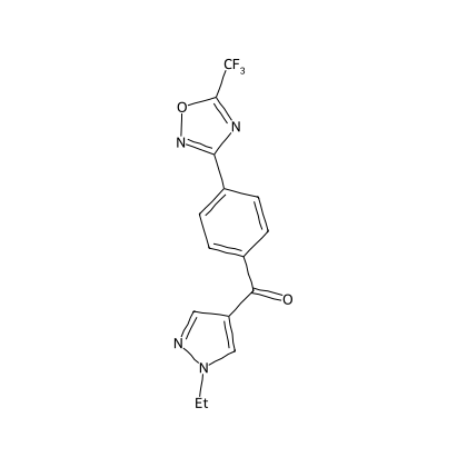 CCn1cc(C(=O)c2ccc(-c3noc(C(F)(F)F)n3)cc2)cn1